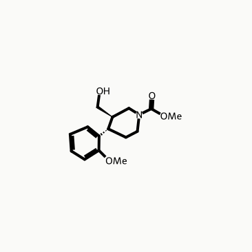 COC(=O)N1CC[C@H](c2ccccc2OC)[C@@H](CO)C1